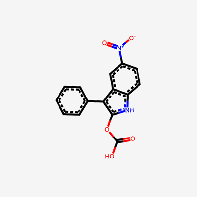 O=C(O)Oc1[nH]c2ccc([N+](=O)[O-])cc2c1-c1ccccc1